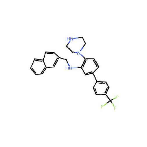 FC(F)(F)c1ccc(-c2ccc(N3CCNCC3)c(NCc3ccc4ccccc4c3)c2)cc1